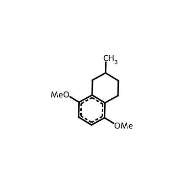 COc1ccc(OC)c2c1CCC(C)C2